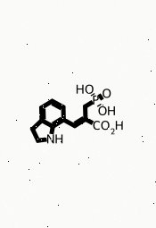 O=C(O)C(=Cc1cccc2c1NCC2)CP(=O)(O)O